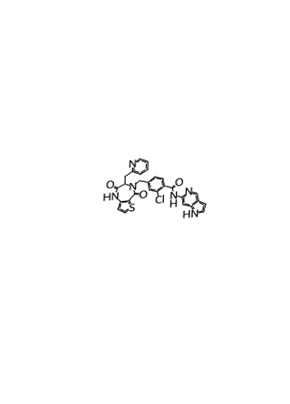 O=C(Nc1cc2[nH]ccc2cn1)c1ccc(CN2C(=O)c3sccc3NC(=O)C2Cc2ccccn2)cc1Cl